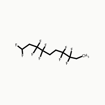 CCC(F)(F)C(F)(F)CCC(F)(F)C(F)(F)CC(F)F